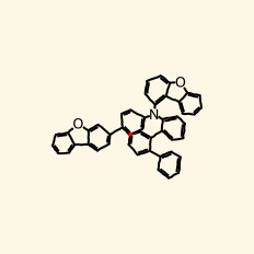 c1ccc(-c2ccccc2-c2ccccc2N(c2ccc(-c3ccc4c(c3)oc3ccccc34)cc2)c2cccc3oc4ccccc4c23)cc1